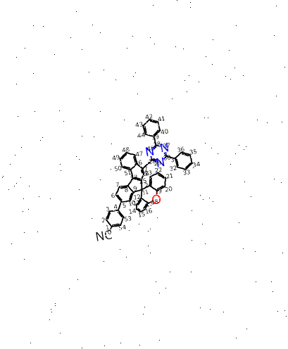 N#Cc1ccc(-c2ccc3c(c2)C2(c4ccccc4Oc4ccccc42)c2cc(-c4nc(-c5ccccc5)nc(-c5ccccc5)n4)c4ccccc4c2-3)cc1